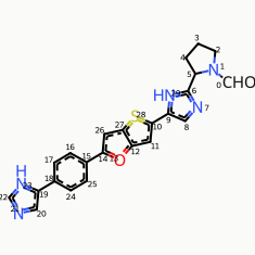 O=CN1CCCC1c1ncc(-c2cc3oc(-c4ccc(-c5cnc[nH]5)cc4)cc3s2)[nH]1